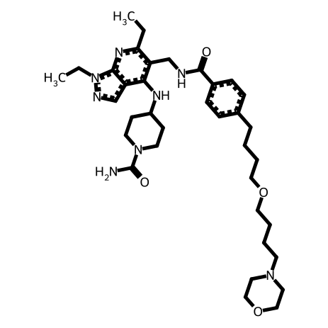 CCc1nc2c(cnn2CC)c(NC2CCN(C(N)=O)CC2)c1CNC(=O)c1ccc(CCCCOCCCCN2CCOCC2)cc1